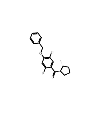 C[C@@H]1CCC[C@H]1C(=O)c1cc(Cl)c(OCc2ccccc2)cc1F